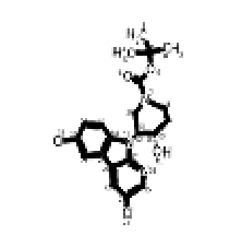 CC(C)(C)OC(=O)N1CC[C@H](O)[C@@H](n2c3ccc(Cl)cc3c3cc(Cl)cnc32)C1